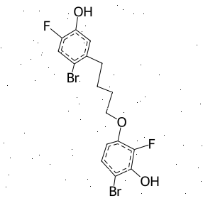 Oc1cc(CCCCOc2ccc(Br)c(O)c2F)c(Br)cc1F